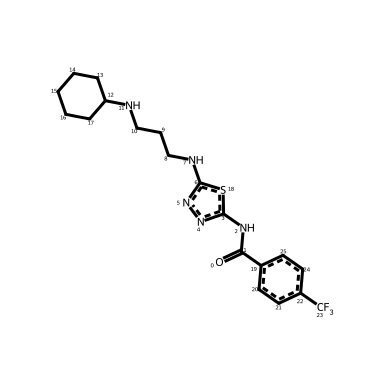 O=C(Nc1nnc(NCCCNC2CCCCC2)s1)c1ccc(C(F)(F)F)cc1